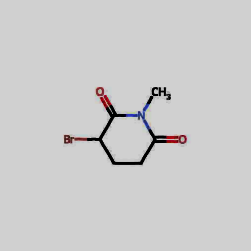 CN1C(=O)CCC(Br)C1=O